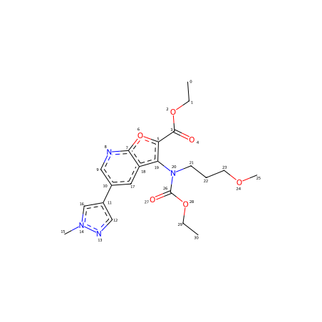 CCOC(=O)c1oc2ncc(-c3cnn(C)c3)cc2c1N(CCCOC)C(=O)OCC